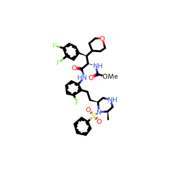 COC(=O)N[C@H](C(=O)Nc1cccc(F)c1CC[C@H]1CNC[C@@H](C)N1S(=O)(=O)c1ccccc1)[C@@H](c1ccc(F)c(F)c1)C1CCOCC1